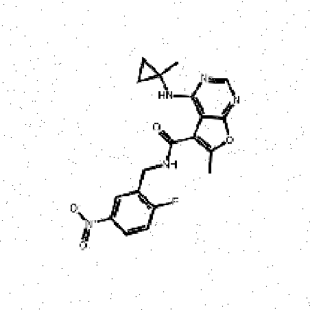 Cc1oc2ncnc(NC3(C)CC3)c2c1C(=O)NCc1cc([N+](=O)[O-])ccc1F